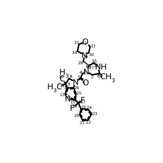 C[C@@H]1CN(CC(=O)N2CC(C)(C)c3cnc(C(F)(F)c4ccccc4)cc32)[C@@H](CN2CCOCC2)CN1